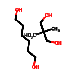 CC(CO)(CO)C(=O)O.OCCCCCCO